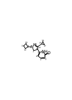 O=c1cccc(C2CN(C3CCC3)N=C2C2CC2)[nH]1